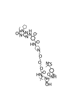 CC[C@@H]1C(=O)N(C)c2cnc(Nc3ccc(C(=O)NC4CCN(CCOCCOCCOCC(=O)N[C@H](CN5C[C@H](O)C[C@H]5C(=O)N[C@H](C)c5ccc(-c6scnc6C)cc5)C(C)(C)C)CC4)cc3OC)nc2N1C1CCCC1